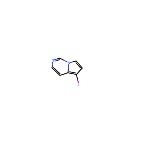 Ic1ccn2cnccc12